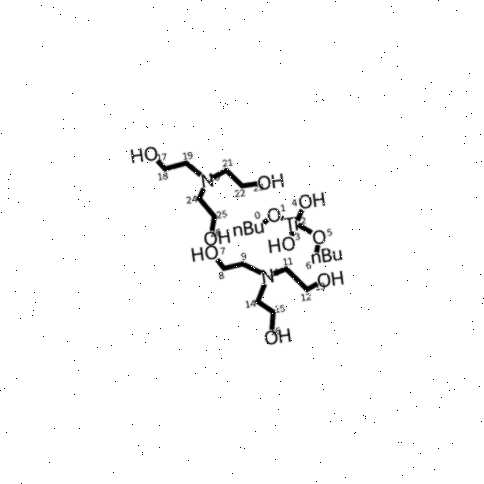 CCCC[O][Ti]([OH])([OH])[O]CCCC.OCCN(CCO)CCO.OCCN(CCO)CCO